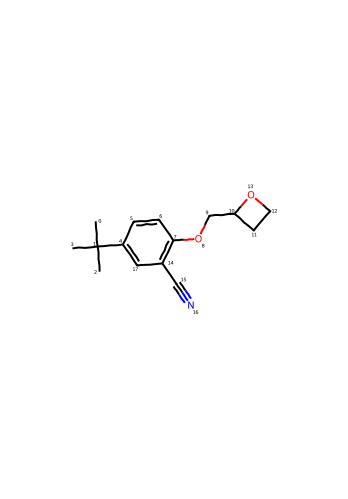 CC(C)(C)c1ccc(OCC2CCO2)c(C#N)c1